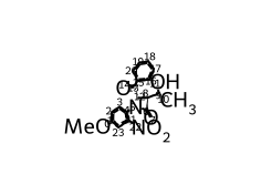 COc1ccc(N2C(=O)[C@H]([C@@H](C)O)[C@H]2C(=O)c2ccccc2)c([N+](=O)[O-])c1